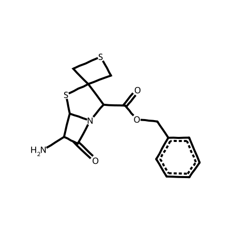 NC1C(=O)N2C1SC1(CSC1)C2C(=O)OCc1ccccc1